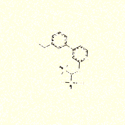 O=P(O)(O)C(Nc1cc(-c2cccc(CF)c2)ccn1)P(=O)(O)O